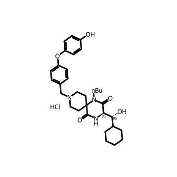 CCCCN1C(=O)[C@@H]([C@H](O)C2CCCCC2)NC(=O)C12CCN(Cc1ccc(Oc3ccc(O)cc3)cc1)CC2.Cl